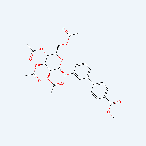 COC(=O)c1ccc(-c2cccc(O[C@@H]3O[C@H](COC(C)=O)[C@@H](OC(C)=O)[C@H](OC(C)=O)[C@@H]3OC(C)=O)c2)cc1